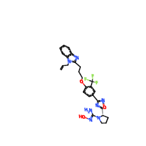 C=CCn1c(CCCOc2ccc(-c3noc([C@@H]4CCCN4/C(N)=N/O)n3)cc2C(F)(F)F)nc2ccccc21